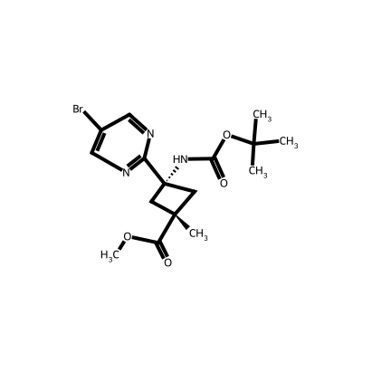 COC(=O)[C@]1(C)C[C@@](NC(=O)OC(C)(C)C)(c2ncc(Br)cn2)C1